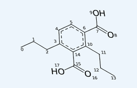 CCCc1ccc(C(=O)O)c(CCC)c1C(=O)O